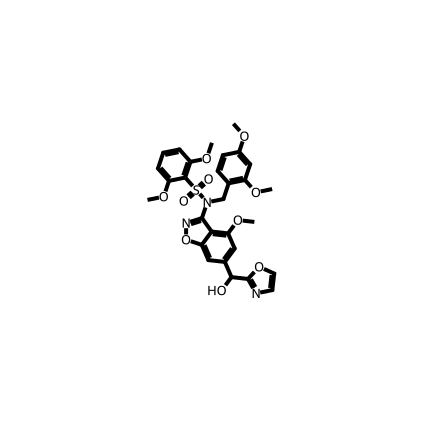 COc1ccc(CN(c2noc3cc(C(O)c4ncco4)cc(OC)c23)S(=O)(=O)c2c(OC)cccc2OC)c(OC)c1